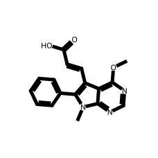 COc1ncnc2c1c(/C=C/C(=O)O)c(-c1ccccc1)n2C